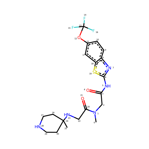 CN(CC(=O)Nc1nc2ccc(OC(F)(F)F)cc2s1)C(=O)CNC1(C)CCNCC1